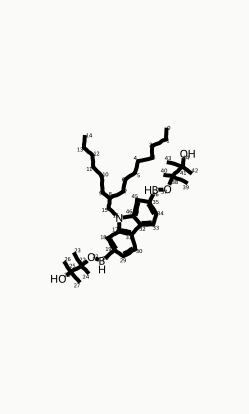 CCCCCCCCC(CCCCCC)Cn1c2cc(BOC(C)(C)C(C)(C)O)ccc2c2ccc(BOC(C)(C)C(C)(C)O)cc21